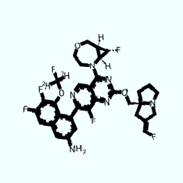 [2H]C([2H])(F)Oc1c(F)c(F)cc2cc(N)cc(-c3ncc4c(N5CCOC[C@H]6[C@H](F)[C@H]65)nc(OC[C@@]56CCCN5C/C(=C\F)C6)nc4c3F)c12